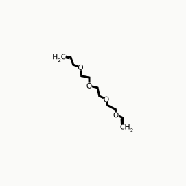 C=CCOCCOCCOCCOC=C